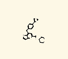 Cn1ccc2nc(C(=O)N[C@H]3CCOC[C@@H]3O)cc(Cc3ccc(-c4cscn4)cc3)c21